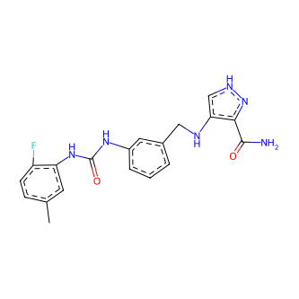 Cc1ccc(F)c(NC(=O)Nc2cccc(CNc3c[nH]nc3C(N)=O)c2)c1